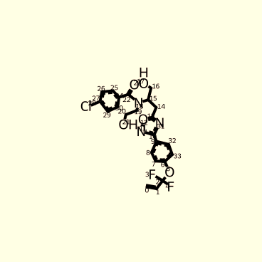 C=CC(F)(F)Oc1ccc(-c2noc(CC(CO)N(CCO)C(=O)c3ccc(Cl)cc3)n2)cc1